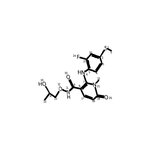 CSc1ccc(Nc2c(C(=O)NOCC(C)O)ccc(=O)n2C)c(F)c1